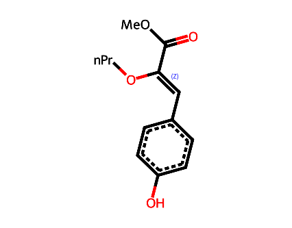 CCCO/C(=C\c1ccc(O)cc1)C(=O)OC